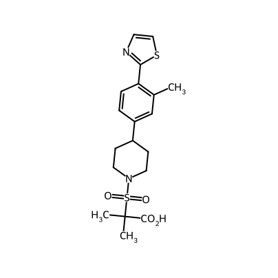 Cc1cc(C2CCN(S(=O)(=O)C(C)(C)C(=O)O)CC2)ccc1-c1nccs1